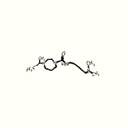 CC(C)N1CCCN(C(=O)NCCN(C)C)CC1